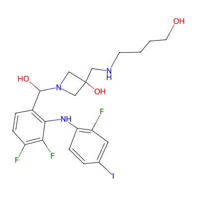 OCCCCNCC1(O)CN(C(O)c2ccc(F)c(F)c2Nc2ccc(I)cc2F)C1